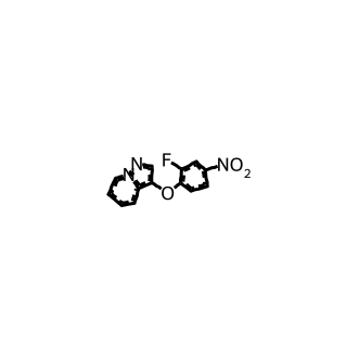 O=[N+]([O-])c1ccc(Oc2cnn3ccccc23)c(F)c1